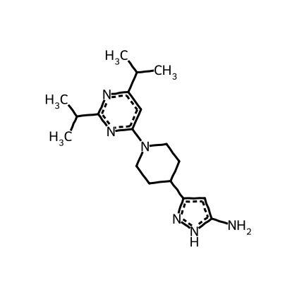 CC(C)c1cc(N2CCC(c3cc(N)[nH]n3)CC2)nc(C(C)C)n1